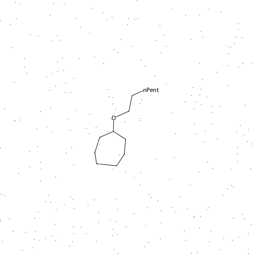 CCCCCCCOC1CCCCCC1